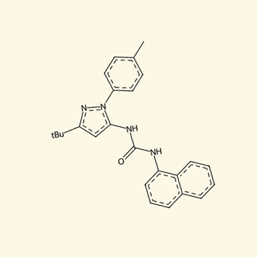 Cc1ccc(-n2nc(C(C)(C)C)cc2NC(=O)Nc2cccc3ccccc23)cc1